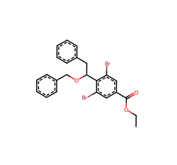 CCOC(=O)c1cc(Br)c(C(Cc2ccccc2)OCc2ccccc2)c(Br)c1